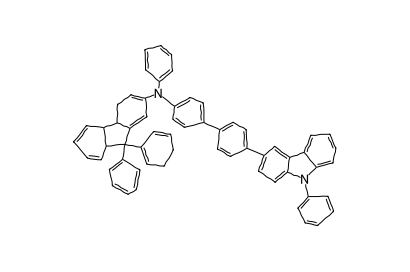 C1=CC2C3CC=C(N(c4ccccc4)c4ccc(-c5ccc(-c6ccc7c(c6)c6ccccc6n7-c6ccccc6)cc5)cc4)C=C3C(C3=CCCC=C3)(c3ccccc3)C2C=C1